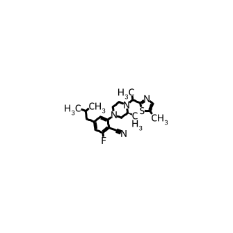 Cc1cnc(C(C)N2CCN(c3cc(CC(C)C)cc(F)c3C#N)C[C@@H]2C)s1